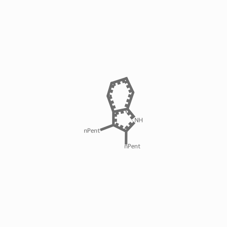 CCCCCc1[nH]c2ccccc2c1CCCCC